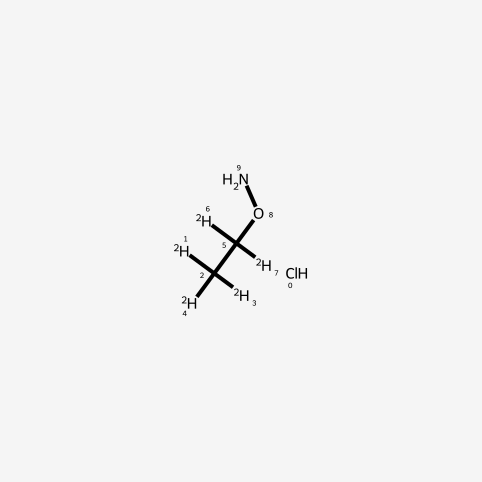 Cl.[2H]C([2H])([2H])C([2H])([2H])ON